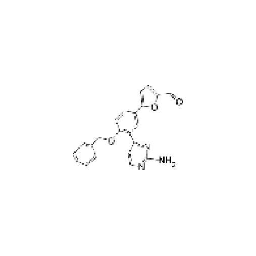 Nc1nccc(-c2cc(-c3ccc(C=O)o3)ccc2OCc2ccccc2)n1